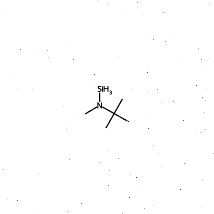 CN([SiH3])C(C)(C)C